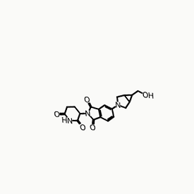 O=C1CCC(N2C(=O)c3ccc(N4CC5C(CO)C5C4)cc3C2=O)C(=O)N1